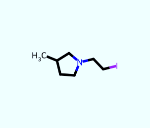 CC1CCN(CCI)C1